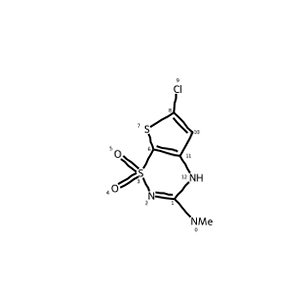 CNC1=NS(=O)(=O)c2sc(Cl)cc2N1